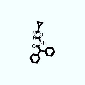 O=C(Nc1nnc(C2CC2)o1)C(c1ccccc1)c1ccccc1